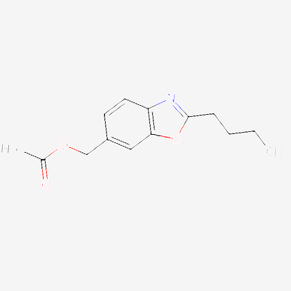 CCCCc1nc2ccc(COC(C)=O)cc2o1